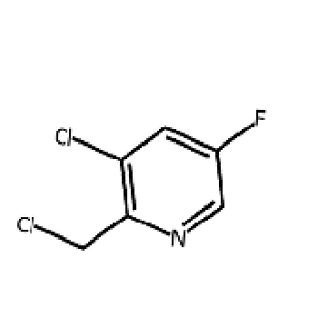 Fc1cnc(CCl)c(Cl)c1